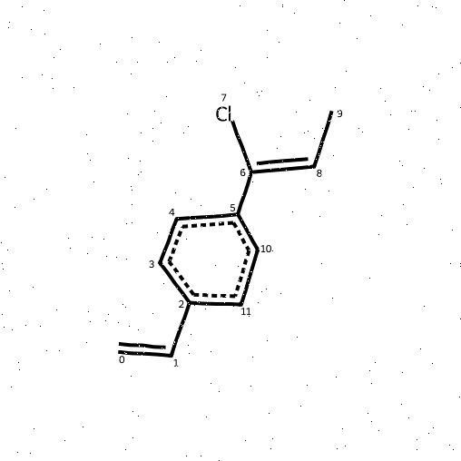 C=Cc1ccc(C(Cl)=CC)cc1